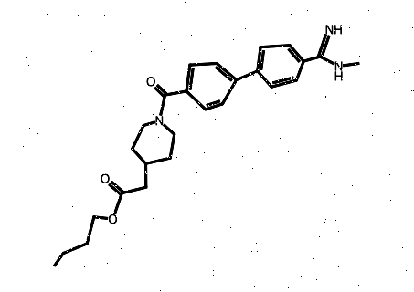 CCCCOC(=O)CC1CCN(C(=O)c2ccc(-c3ccc(C(=N)NC)cc3)cc2)CC1